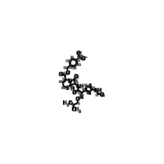 CC(C)CO/N=C(\C(=O)NC1C(=O)N2C(C(=O)OCc3ccc([N+](=O)[O-])cc3)=CCS[C@H]12)c1csc(NC=O)n1